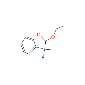 CCOC(=O)C(C)(Br)c1ccccc1